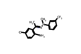 C/C(=N\N(C)c1cccc(C(F)(F)F)c1)c1cc(Cl)ccc1N